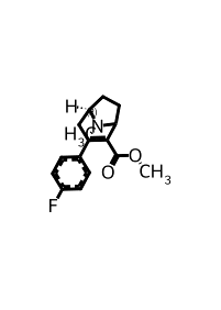 COC(=O)C1=C(c2ccc(F)cc2)C[C@H]2CCC1N2C